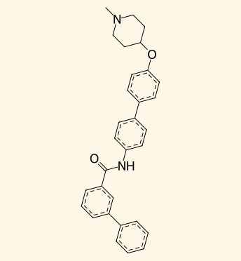 CN1CCC(Oc2ccc(-c3ccc(NC(=O)c4cccc(-c5ccccc5)c4)cc3)cc2)CC1